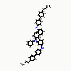 CCCc1ccc(-c2ccc(Nc3ccc4c5c6cccc(Nc7ccc(-c8ccc(CCC)cc8)cc7)c6ccc5n(-c5ccccc5)c4c3)cc2)cc1